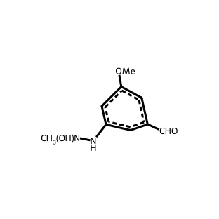 COc1cc(C=O)cc(NN(C)O)c1